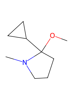 COC1(C2CC2)CCCN1C